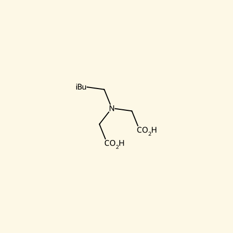 CCC(C)CN(CC(=O)O)CC(=O)O